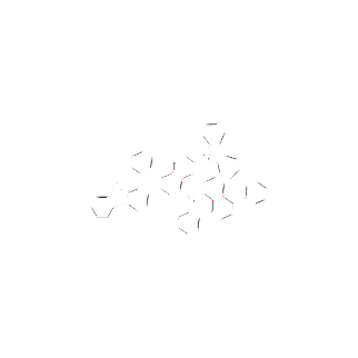 c1ccc(-c2ccc(-c3ccccc3N(c3ccc(-c4ccccc4-c4cccc5c4oc4ccccc45)cc3)c3ccccc3-c3ccccc3-n3c4ccccc4c4ccccc43)cc2)cc1